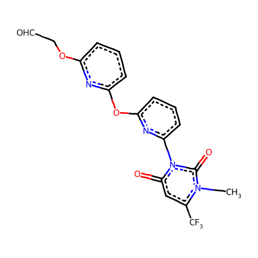 Cn1c(C(F)(F)F)cc(=O)n(-c2cccc(Oc3cccc(OCC=O)n3)n2)c1=O